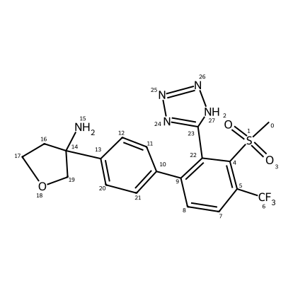 CS(=O)(=O)c1c(C(F)(F)F)ccc(-c2ccc(C3(N)CCOC3)cc2)c1-c1nnn[nH]1